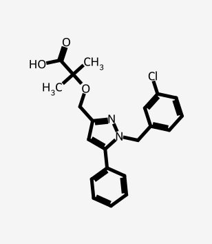 CC(C)(OCc1cc(-c2ccccc2)n(Cc2cccc(Cl)c2)n1)C(=O)O